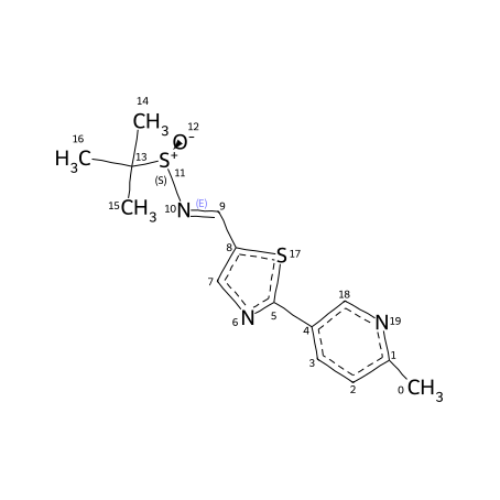 Cc1ccc(-c2ncc(/C=N/[S@+]([O-])C(C)(C)C)s2)cn1